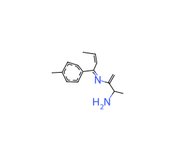 C=C(/N=C(\C=C/C)c1ccc(C)cc1)C(C)N